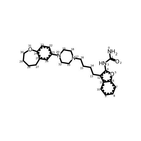 NC(=O)Nc1oc2ccccc2c1CCCCN1CCN(c2ccc3c(c2)CCCCO3)CC1